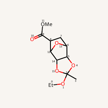 CCOC1(C)OC2C3CC(C(=O)OC)C(O3)C2O1